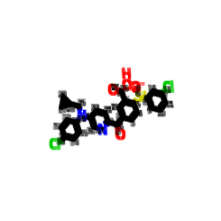 O=C(c1ccc([S+]([O-])c2cccc(Cl)c2)c(C(=O)O)c1)c1ccc(N(CC2CC2)c2ccc(Cl)cc2)cn1